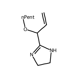 C=CC(OCCCCC)C1=NCCN1